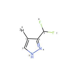 [2H]c1c[nH]nc1C(F)F